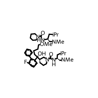 CNC[C@H](CC(C)C)NC(=O)N1CCCCC1.CNC[C@H](CC(C)C)NC(=O)N1CCC[C@@H]([C@@](O)(CCCCOC)c2cccc(F)c2-c2ccccc2)C1